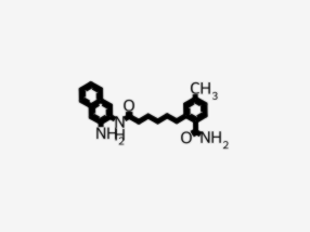 Cc1ccc(C(N)=O)c(CCCCCC(=O)Nc2cc3ccccc3cc2N)c1